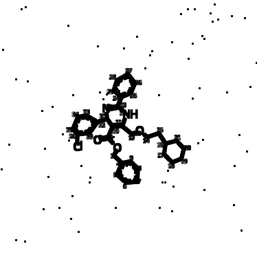 O=C(OCc1ccccc1)C1=C(COCCC2CCCCC2)NC(c2ccccc2)=NC1c1cccc(Cl)c1